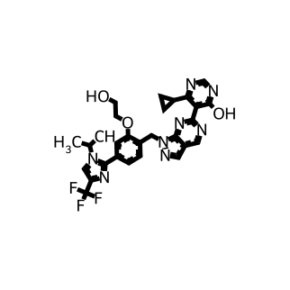 CC(C)n1cc(C(F)(F)F)nc1-c1ccc(Cn2ncc3cnc(-c4c(O)ncnc4C4CC4)nc32)c(OCCO)c1